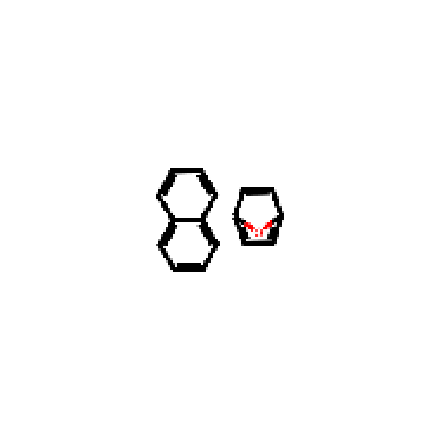 c1cc2ccc1o2.c1ccc2ccccc2c1